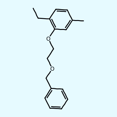 CCc1ccc(C)cc1OCCOCc1ccccc1